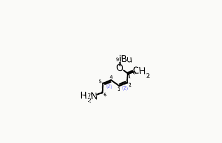 C=C(/C=C\C=C/CN)OC(C)CC